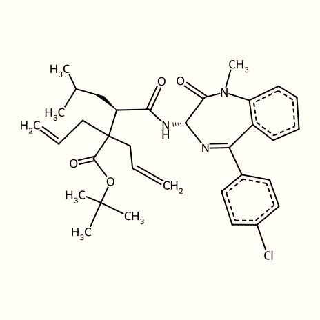 C=CCC(CC=C)(C(=O)OC(C)(C)C)[C@@H](CC(C)C)C(=O)N[C@H]1N=C(c2ccc(Cl)cc2)c2ccccc2N(C)C1=O